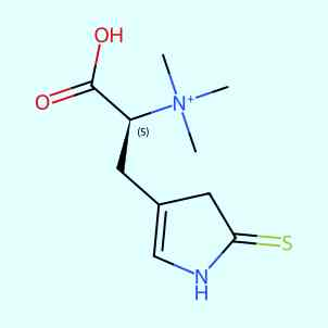 C[N+](C)(C)[C@@H](CC1=CNC(=S)C1)C(=O)O